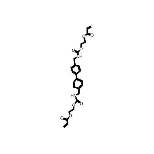 C=CC(=O)OCCOC(=O)NCc1ccc(-c2ccc(CNC(=O)OCCOC(=O)C=C)cc2)cc1